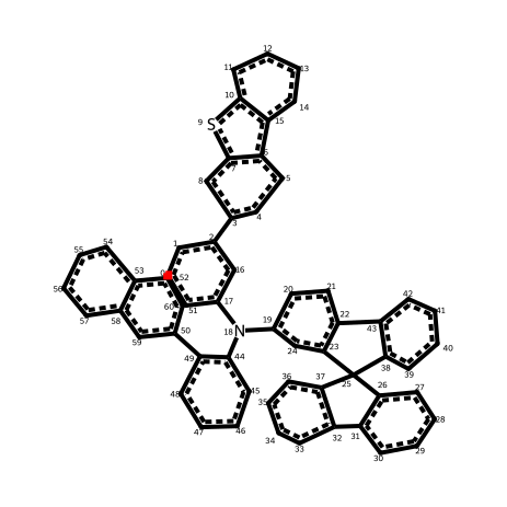 c1cc(-c2ccc3c(c2)sc2ccccc23)cc(N(c2ccc3c(c2)C2(c4ccccc4-c4ccccc42)c2ccccc2-3)c2ccccc2-c2ccc3ccccc3c2)c1